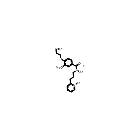 CCCCCCCCCCCCOc1ccc(C(=O)N(CCCc2cccc[n+]2CC)C(C)=O)cc1OC.[I-]